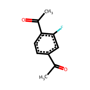 CC(=O)c1ccc(C(C)=O)c(F)c1